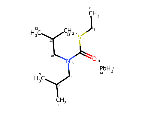 CCSC(=O)N(CC(C)C)CC(C)C.[PbH2]